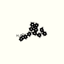 CC1(C)c2ccccc2-c2ccc(-c3ccc(N(c4ccc(-c5cccc(-n6c7ccccc7c7ccccc76)c5)cc4)c4cccc5c4-c4ccccc4C5(c4ccccc4)c4ccccc4)cc3)cc21